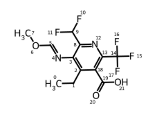 CCc1c(N=COC)c(C(F)F)nc(C(F)(F)F)c1C(=O)O